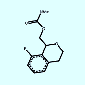 CNC(=O)OCC1OCCc2cccc(F)c21